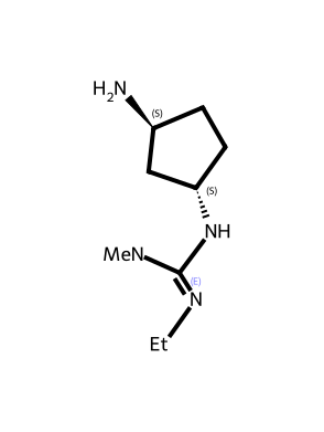 CC/N=C(\NC)N[C@H]1CC[C@H](N)C1